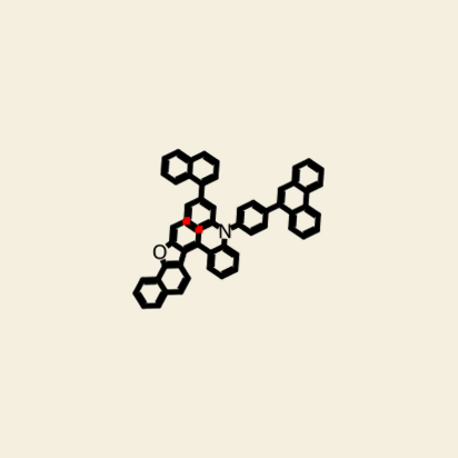 c1cc(-c2cccc3ccccc23)cc(N(c2ccc(-c3cc4ccccc4c4ccccc34)cc2)c2ccccc2-c2cccc3oc4c5ccccc5ccc4c23)c1